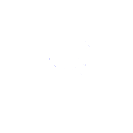 COCCNC(=O)N1CCN(c2cc(N3CCCC3)nc(Nc3cc4c(cn3)cnn4C(C)C)n2)CC1